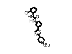 CC(C)(C)N1CCC(c2ncc(-c3cccc(NC(=O)Nc4ccccc4Cl)c3)s2)CC1